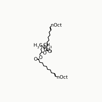 CCCCCCCCC=CCCCCCCCC(=O)OCC(C[N+](C)(C)C)OC(=O)CCCCCCCC=CCCCCCCCC